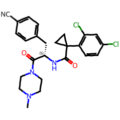 CN1CCN(C(=O)[C@H](Cc2ccc(C#N)cc2)NC(=O)C2(c3ccc(Cl)cc3Cl)CC2)CC1